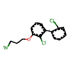 Clc1ccccc1-c1cccc(OCCCBr)c1Cl